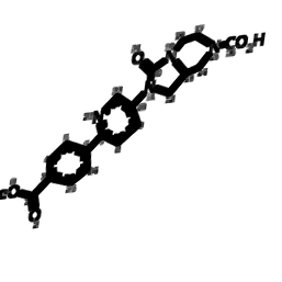 COC(=O)c1ccc(-c2ccc(N3CC4CN(C(=O)O)CCN4C3=O)cn2)cc1